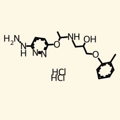 Cc1ccccc1OCC(O)CNC(C)Oc1ccc(NN)nn1.Cl.Cl